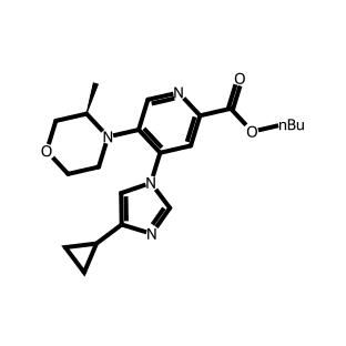 CCCCOC(=O)c1cc(-n2cnc(C3CC3)c2)c(N2CCOC[C@H]2C)cn1